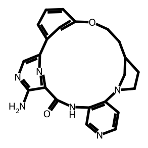 Nc1ncc2nc1C(=O)Nc1cnccc1N1CCC(CCOc3cccc-2c3)C1